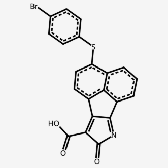 O=C(O)C1=C2C(=NC1=O)c1cccc3c(Sc4ccc(Br)cc4)ccc2c13